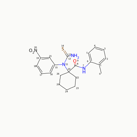 Cc1ccccc1NC(=O)C1(N(C(N)=S)c2cccc([N+](=O)[O-])c2)CCCCC1